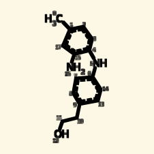 Cc1ccc(Nc2ccc(CCO)cc2)c(N)c1